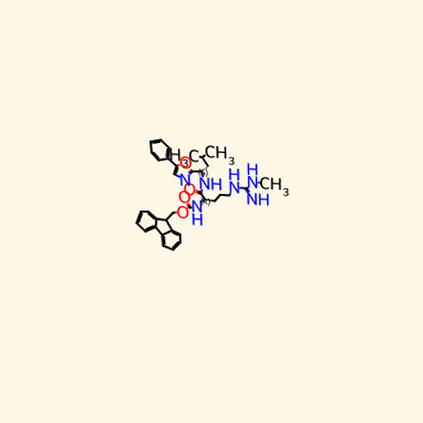 CNC(=N)NCCC[C@@H](NC(=O)OCC1c2ccccc2-c2ccccc21)C(=O)N[C@@H](CC(C)C)c1ncc(-c2ccccc2)o1